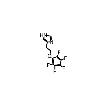 Fc1c(F)c(F)c(OCCc2c[nH]cn2)c(F)c1F